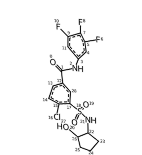 O=C(Nc1cc(F)c(F)c(F)c1)c1ccc(Cl)c(S(=O)(=O)NC2CCCC2O)c1